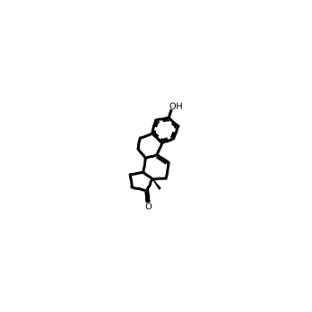 C[C@]12CC=C3c4ccc(O)cc4CCC3C1CCC2=O